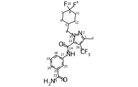 Cc1nn(CC2CCC(F)(F)CC2)c(C(=O)Nc2cccc(C(N)=O)c2)c1C(F)(F)F